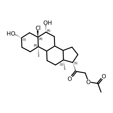 CC(=O)OCC(=O)[C@H]1CCC2C3C[C@@H](O)[C@@]4(Cl)C[C@@H](O)CC[C@]4(C)C3CC[C@@]21C